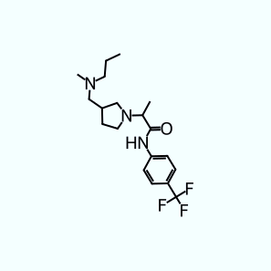 CCCN(C)CC1CCN(C(C)C(=O)Nc2ccc(C(F)(F)F)cc2)C1